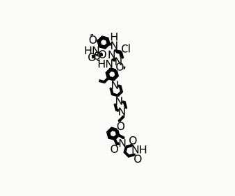 CCc1cc(Nc2ncc(Cl)c(Nc3ccc(OC)c(NS(C)(=O)=O)c3)n2)c(OC)cc1N1CCC(N2CCN(CCOc3cccc4c3CN(C3CCC(=O)NC3=O)C4=O)CC2)CC1